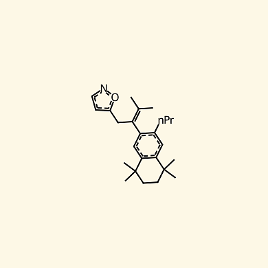 CCCc1cc2c(cc1C(Cc1ccno1)=C(C)C)C(C)(C)CCC2(C)C